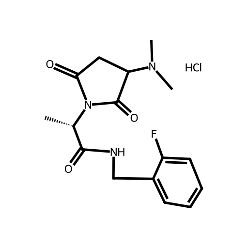 C[C@@H](C(=O)NCc1ccccc1F)N1C(=O)CC(N(C)C)C1=O.Cl